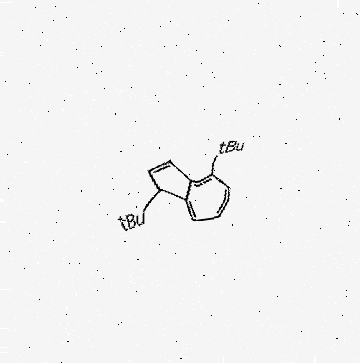 CC(C)(C)c1cccc2c1C=CC2C(C)(C)C